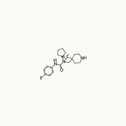 CC1(CN(C(=O)Nc2ccc(F)cc2)C2CCCC2)CCNCC1